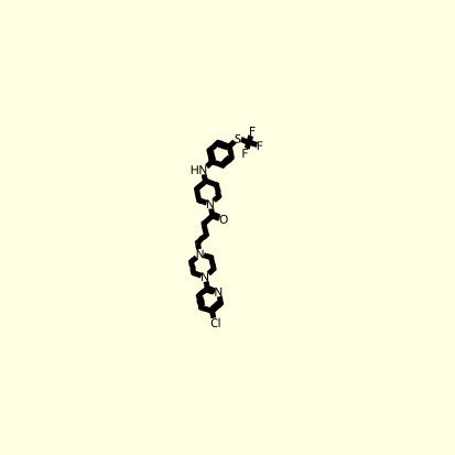 O=C(CCCN1CCN(c2ccc(Cl)cn2)CC1)N1CCC(Nc2ccc(SC(F)(F)F)cc2)CC1